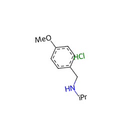 COc1ccc(CNC(C)C)cc1.Cl